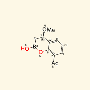 CO[C@@H]1CB(O)Oc2c(C(C)=O)cccc21